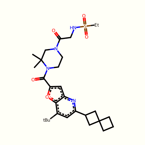 CCS(=O)(=O)NCC(=O)N1CCN(C(=O)c2cc3nc(C4CC5(CCC5)C4)cc(C(C)(C)C)c3o2)C(C)(C)C1